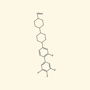 CCCCCC1CCC(C2CCC(c3ccc(-c4cc(F)c(F)c(F)c4)c(F)c3)CC2)CC1